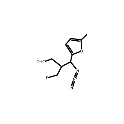 Cc1ccc(C(N=[N+]=[N-])C(CF)CC=O)o1